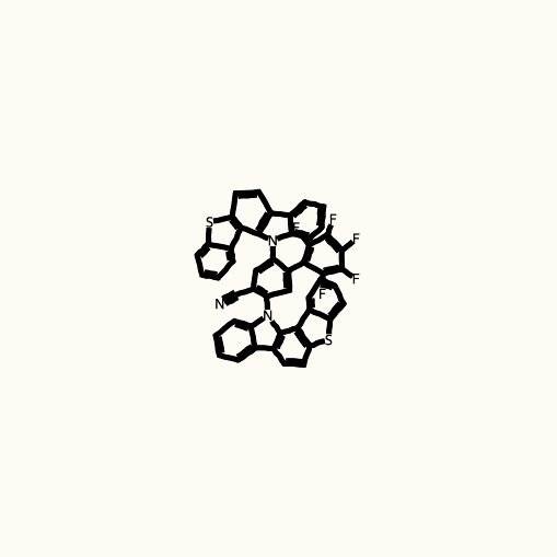 N#Cc1cc(-n2c3ccccc3c3ccc4sc5ccccc5c4c32)c(-c2c(F)c(F)c(F)c(F)c2F)cc1-n1c2ccccc2c2ccc3sc4ccccc4c3c21